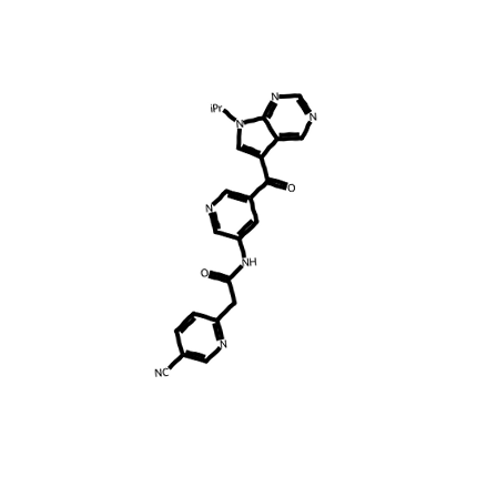 CC(C)n1cc(C(=O)c2cncc(NC(=O)Cc3ccc(C#N)cn3)c2)c2cncnc21